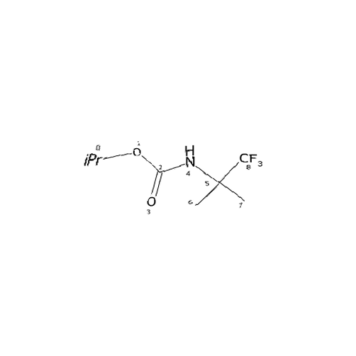 CC(C)OC(=O)NC(C)(C)C(F)(F)F